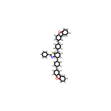 c1ccc(-c2nc3c(-c4ccc(-c5ccc6oc7ccccc7c6c5)cc4)ccc(-c4ccc(-c5ccc6oc7ccccc7c6c5)cc4)c3s2)cc1